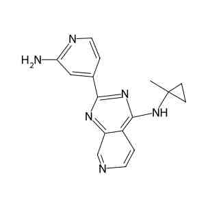 CC1(Nc2nc(-c3ccnc(N)c3)nc3cnccc23)CC1